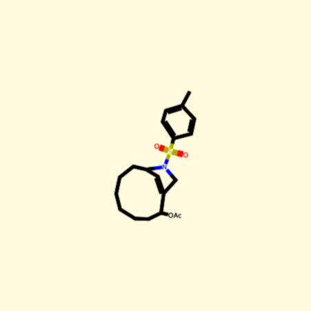 CC(=O)OC1CCCCCCC2C=C1CN2S(=O)(=O)c1ccc(C)cc1